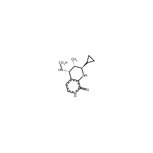 C[C@@H]1[C@@H](C2CC2)Nc2c(cc[nH]c2=O)[C@@H]1NC(=O)O